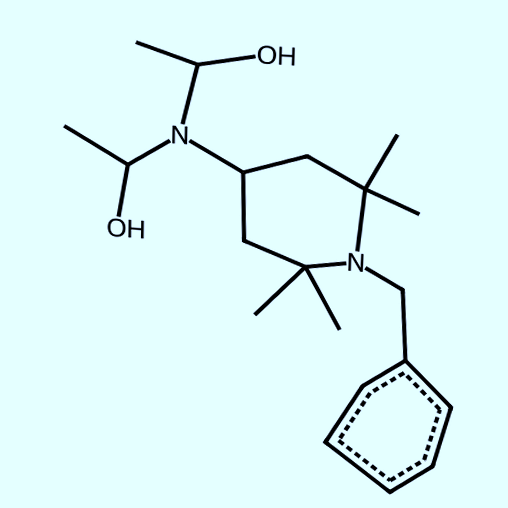 CC(O)N(C(C)O)C1CC(C)(C)N(Cc2ccccc2)C(C)(C)C1